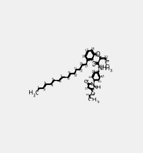 CCCCCCCCCCCCCCCc1cccc(OC(CC)C(=O)Nc2ccc(-n3[nH]c(OCC)cc3=O)cc2)c1